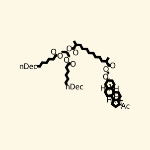 CCCCCCCCCCCCCCCC(=O)OCC(COC(=O)CCCCCCCCCCCCCCC)OC(=O)C(C)CCCCCCCCC(C)C(=O)OCO[C@@H]1CC[C@@]2(C)[C@@H](CC[C@@H]3[C@@H]2CC[C@]2(C)[C@@H](C(C)=O)CC[C@@H]32)C1